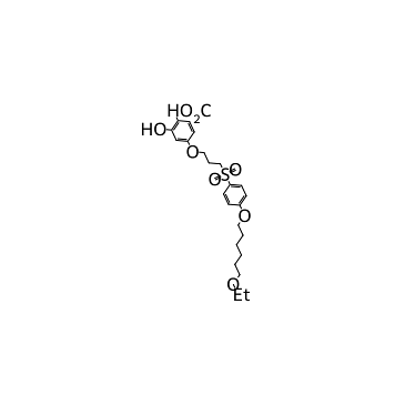 CCOCCCCCCOc1ccc(S(=O)(=O)CCCOc2ccc(C(=O)O)c(O)c2)cc1